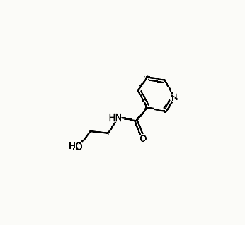 O=C(NCCO)c1c[c]cnc1